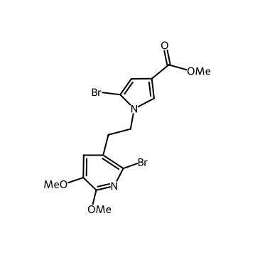 COC(=O)c1cc(Br)n(CCc2cc(OC)c(OC)nc2Br)c1